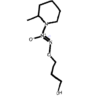 CC1CCCCN1/[N+]([O-])=N/OCCCO